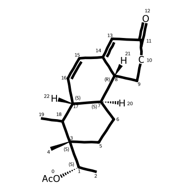 CC(=O)O[C@@H](C)[C@@]1(C)CC[C@@H]2[C@H]3CCC(=O)C=C3C=C[C@H]2C1C